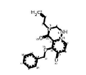 C=CCN1CNn2ccc(=O)c(OCc3ccccc3)c2C1=O